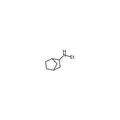 [CH2]CNC1CC2CCC1C2